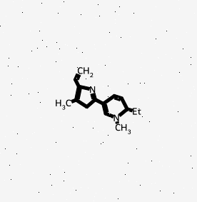 C=CC1=C(C)CC(C2=CN(C)C(CC)C=C2)=N1